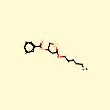 CCCCCCOC(=O)CC(CO)OC(=O)c1ccccc1